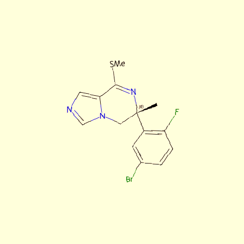 CSC1=N[C@](C)(c2cc(Br)ccc2F)Cn2cncc21